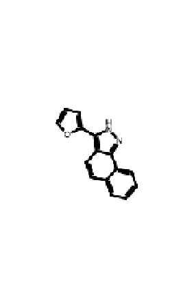 c1coc(-c2[nH]nc3c2ccc2ccccc23)c1